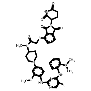 COc1cc(N2CCC(N(C)C(=O)CSc3cccc4c3C(=O)N(C3CCC(=O)NC3=O)C4=O)CC2)ccc1Nc1ncc(Cl)c(Nc2ccccc2P(C)C)n1